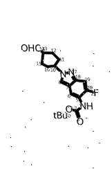 CC(C)(C)OC(=O)Nc1cc2cn(C3CCC(C=O)CC3)nc2cc1F